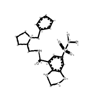 CCN(CC)S(=O)(=O)c1cc2c(c(C(=O)NCC3CCCN3Cc3ccccc3)c1)OCCO2